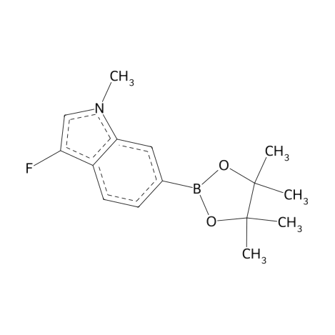 Cn1cc(F)c2ccc(B3OC(C)(C)C(C)(C)O3)cc21